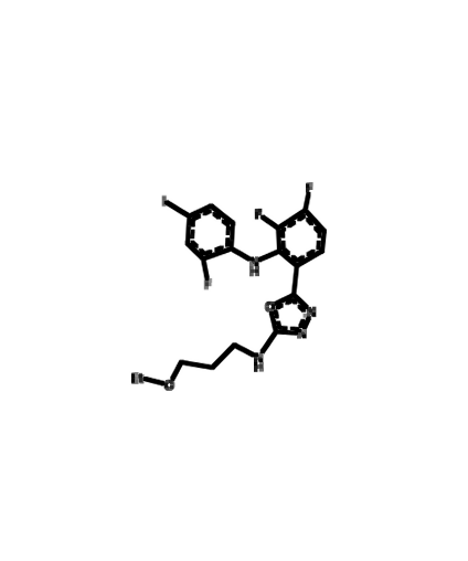 CCOCCCNc1nnc(-c2ccc(F)c(F)c2Nc2ccc(I)cc2F)o1